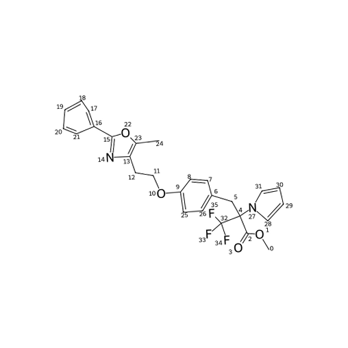 COC(=O)C(Cc1ccc(OCCc2nc(-c3ccccc3)oc2C)cc1)(n1cccc1)C(F)(F)F